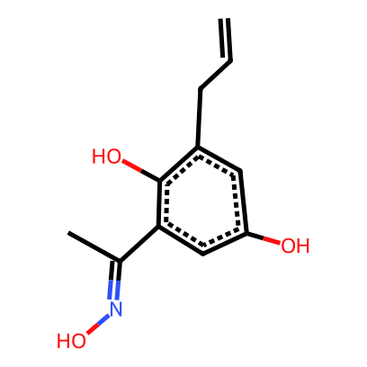 C=CCc1cc(O)cc(/C(C)=N/O)c1O